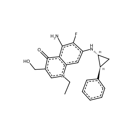 CCn1cc(CO)c(=O)c2c(N)c(F)c(N[C@@H]3C[C@H]3c3ccccc3)cc21